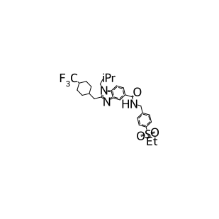 CCS(=O)(=O)c1ccc(CNC(=O)c2ccc3c(c2)nc(CC2CCC(C(F)(F)F)CC2)n3CC(C)C)cc1